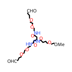 COCCOCCCC(=O)NC(CC(=O)NCCOCCOCCCC=O)CC(=O)NCCOCCOCCCC=O